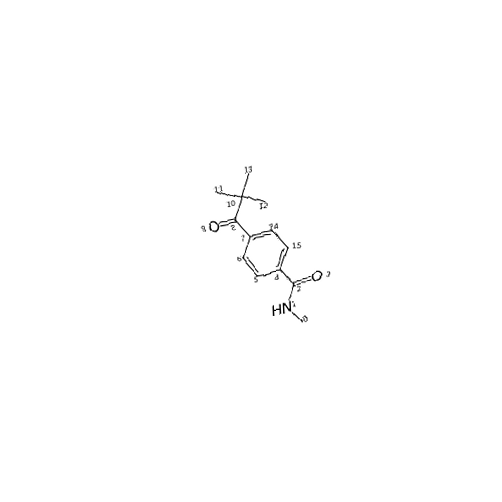 CNC(=O)c1ccc(C(=O)C(C)(C)C)cc1